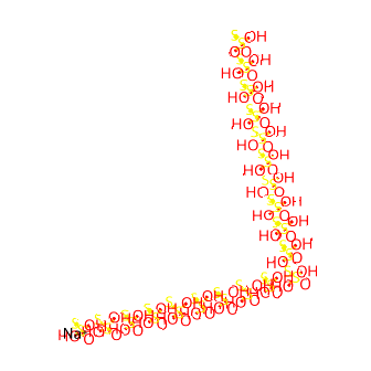 O=S(O)(O)=S.O=S(O)(O)=S.O=S(O)(O)=S.O=S(O)(O)=S.O=S(O)(O)=S.O=S(O)(O)=S.O=S(O)(O)=S.O=S(O)(O)=S.O=S(O)(O)=S.O=S(O)(O)=S.O=S(O)(O)=S.O=S(O)(O)=S.O=S(O)(O)=S.O=S(O)(O)=S.O=S(O)(O)=S.O=S(O)(O)=S.O=S(O)(O)=S.O=S(O)(O)=S.O=S(O)(O)=S.O=S([O-])(O)=S.[Na+]